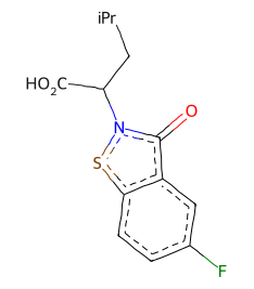 CC(C)CC(C(=O)O)n1sc2ccc(F)cc2c1=O